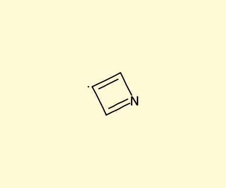 [C]1=CN=C1